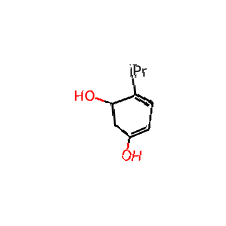 CC(C)C1=CC=C(O)CC1O